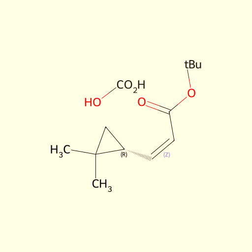 CC(C)(C)OC(=O)/C=C\[C@H]1CC1(C)C.O=C(O)O